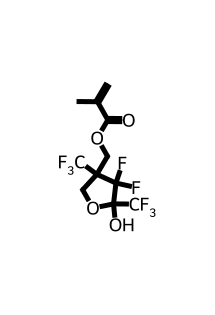 C=C(C)C(=O)OCC1(C(F)(F)F)COC(O)(C(F)(F)F)C1(F)F